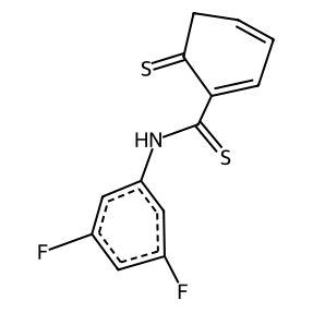 Fc1cc(F)cc(NC(=S)C2=CC=CCC2=S)c1